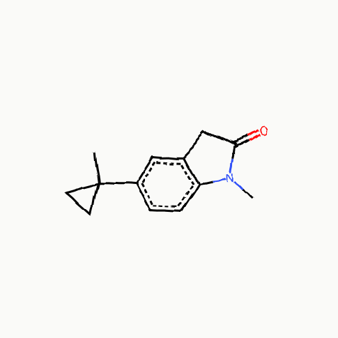 CN1C(=O)Cc2cc(C3(C)CC3)ccc21